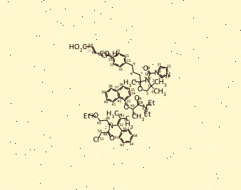 CC1(C)COC(C)(CCCc2ccc(Cl)cc2)N1C(=O)n1ccnc1.CCN(CC)C(=O)C(C)Oc1cccc2ccccc12.CCOCCN(C(=O)CCl)C(=C(C)C)c1ccccc1.O=C(O)/C=C/C(=O)O